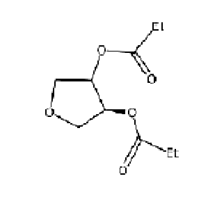 CCC(=O)OC1COC[C@@H]1OC(=O)CC